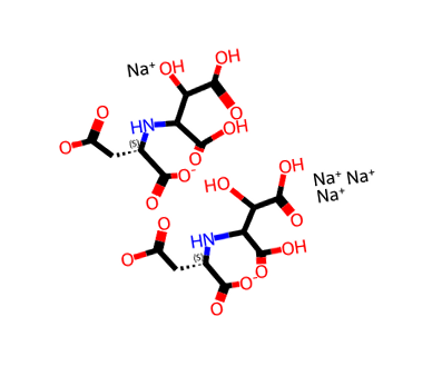 O=C([O-])C[C@H](NC(C(=O)O)C(O)C(=O)O)C(=O)[O-].O=C([O-])C[C@H](NC(C(=O)O)C(O)C(=O)O)C(=O)[O-].[Na+].[Na+].[Na+].[Na+]